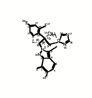 Cc1c(F)ccc2c(C)n([C@H](C)[C@](O)(Cn3cncn3)c3ccc(F)cc3F)nc12